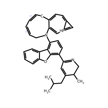 CC(C)CC1=CC(c2ccc(N3C/C=C\C=C/CC4=CC=C5C=[PH]5C=C43)c3c2oc2ccccc23)=NCC1C